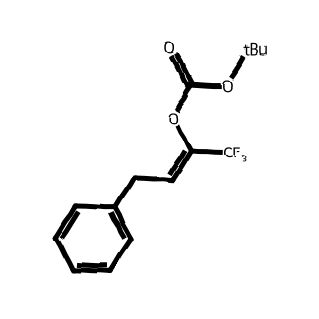 CC(C)(C)OC(=O)OC(=CCc1ccccc1)C(F)(F)F